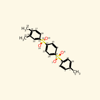 Cc1ccc(S(=O)(=O)c2ccc(S(=O)(=O)c3ccc(C)c(C)c3)cc2)cc1